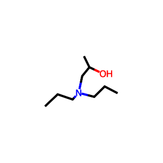 CCCN(CCC)CC(C)O